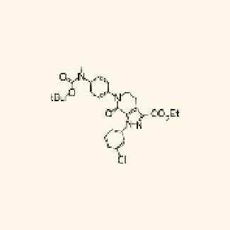 CCOC(=O)c1nn(-c2cccc(Cl)c2)c2c1CCN(c1ccc(N(C)C(=O)OC(C)(C)C)cc1)C2=O